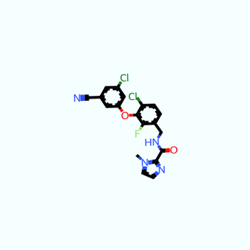 Cn1ccnc1C(=O)NCc1ccc(Cl)c(Oc2cc(Cl)cc(C#N)c2)c1F